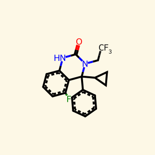 O=C1Nc2cccc(F)c2C(c2ccccc2)(C2CC2)N1CC(F)(F)F